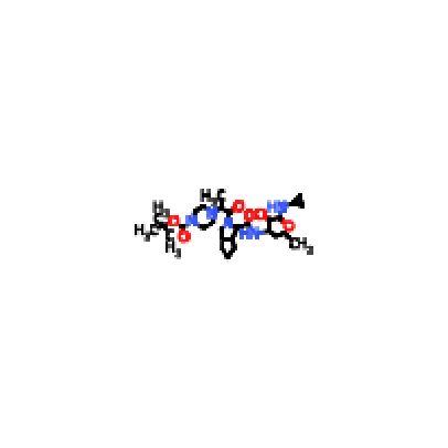 CCCC(NC(=O)C1C2CCCC2CN1C(=O)C(C)N1CCN(C(=O)OC(C)(C)C)CC1)C(=O)C(=O)NC1CC1